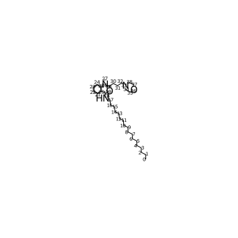 CCCCCCCCCCCCCCCCCCNCc1ccccc1N(C)C(=O)CCCN1CCOCC1